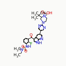 CCN(C)S(=O)(=O)Nc1cccc(C(=O)c2c[nH]c3ncc(-c4cnc(N5CCN(C(=O)O)C(C(C)(C)C)C5)nc4)cc23)c1F